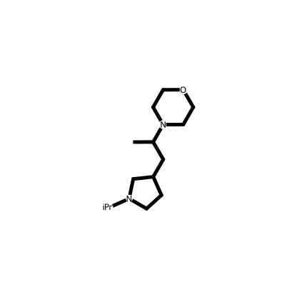 CC(C)N1CCC(CC(C)N2CCOCC2)C1